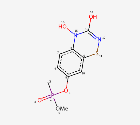 COP(C)(=O)Oc1ccc2c(c1)SN=C(O)N2O